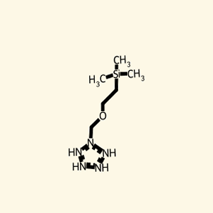 C[Si](C)(C)CCOCn1[nH][nH][nH][nH]1